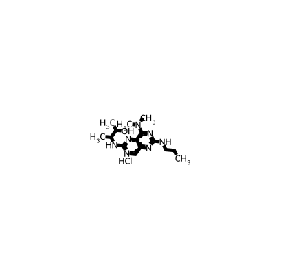 CCCNc1nc(N(C)C)c2nc(NC(C)C(C)O)ncc2n1.Cl